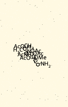 COC(=O)[C@@]1(C/C=C/c2cccc(CN)c2)C[C@H](OC(C)=O)[C@@H](NC(C)=O)[C@H]([C@H](OC(C)=O)[C@@H](CNC(=O)c2cc(C)c(OC(C)=O)c(C)c2)OC(C)=O)O1